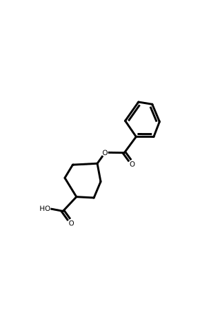 O=C(OC1CCC(C(=O)O)CC1)c1ccccc1